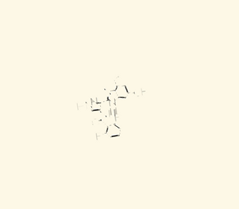 O=C(Nc1c[nH]nc1-c1nc2c(CI)cc(C(F)(F)F)cc2[nH]1)c1c(F)cccc1F